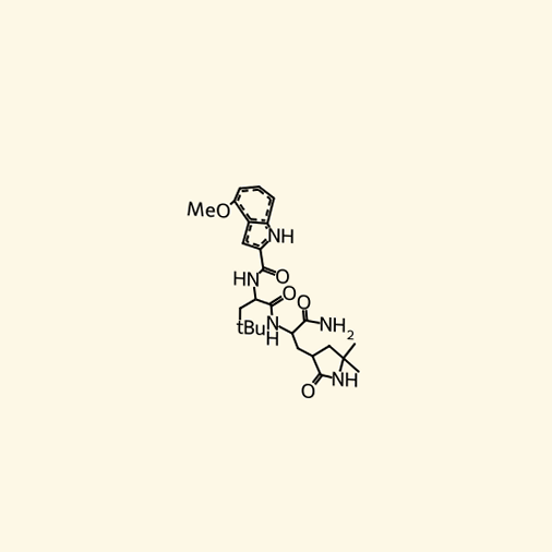 COc1cccc2[nH]c(C(=O)NC(CC(C)(C)C)C(=O)NC(CC3CC(C)(C)NC3=O)C(N)=O)cc12